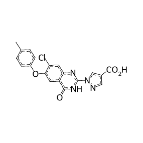 Cc1ccc(Oc2cc3c(=O)[nH]c(-n4cc(C(=O)O)cn4)nc3cc2Cl)cc1